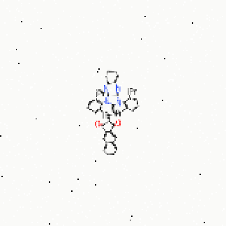 CC(C)c1cccc(C(C)C)c1N1C(=CC=C2C(=O)c3cc4ccccc4cc3C2=O)N(c2c(C(C)C)cccc2C(C)C)c2nc3ccccc3nc21